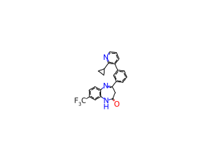 O=C1CC(c2cccc(-c3cccnc3C3CC3)c2)=Nc2ccc(C(F)(F)F)cc2N1